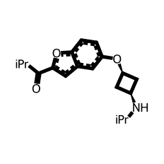 CC(C)N[C@H]1C[C@@H](Oc2ccc3oc(C(=O)C(C)C)cc3c2)C1